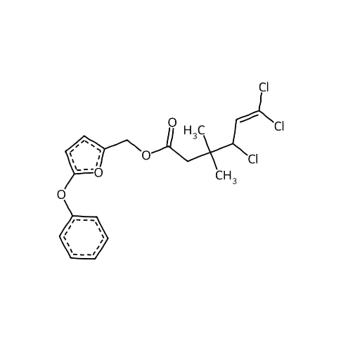 CC(C)(CC(=O)OCc1ccc(Oc2ccccc2)o1)C(Cl)C=C(Cl)Cl